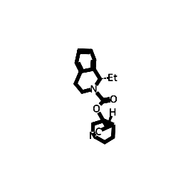 CC[C@H]1c2ccccc2CCN1C(=O)O[C@H]1CN2CCC1CC2